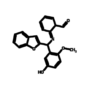 COc1ccc(O)cc1C(N=C1C=CC=CC1C=O)c1cc2ccccc2o1